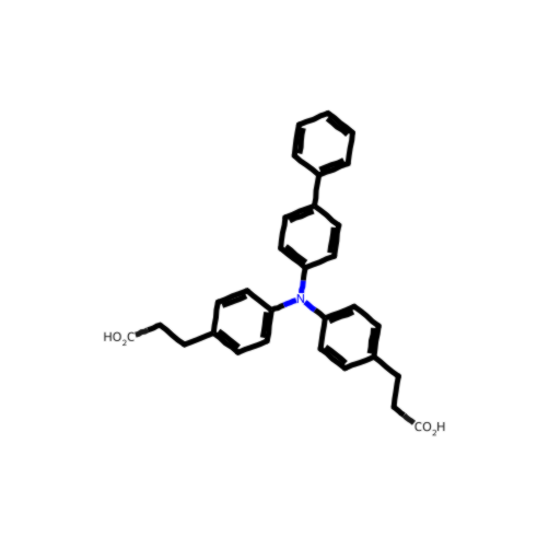 O=C(O)CCc1ccc(N(c2ccc(CCC(=O)O)cc2)c2ccc(-c3ccccc3)cc2)cc1